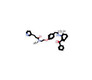 CCCN(CCOc1ccc(C[C@H](Nc2ccccc2C(=O)c2ccccc2)C(=O)O)cc1)C(=O)CCc1cccnc1